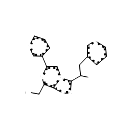 CC(C)Cc1nc(-c2cccnc2)cn2c(C(Cc3cccnc3)C(=O)O)nnc12